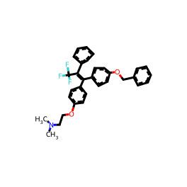 CN(C)CCOc1ccc(C(=C(c2ccccc2)C(F)(F)F)c2ccc(OCc3ccccc3)cc2)cc1